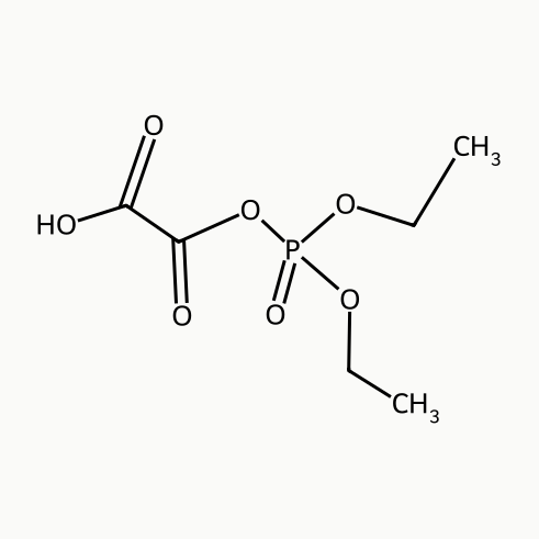 CCOP(=O)(OCC)OC(=O)C(=O)O